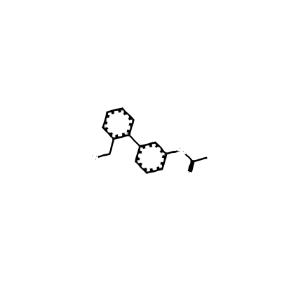 CC(=O)Nc1cccc(-c2cc[c]cc2CN)c1